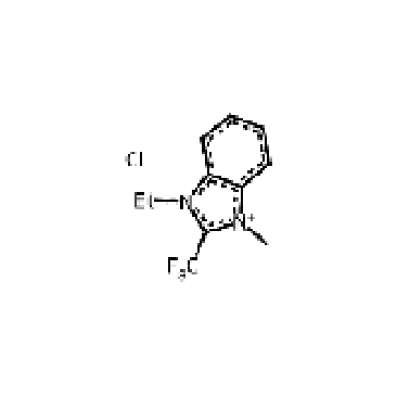 CCn1c(C(F)(F)F)[n+](C)c2ccccc21.[Cl-]